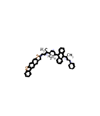 C=C(/C=C\C(=C)c1c2ccccc2c(/C(C)=C/C=C2/C=CCCC2)c2ccccc12)/C(C)=C/C=C1\Cc2cc3cc4c(cc3cc2S1)sc1ccccc14